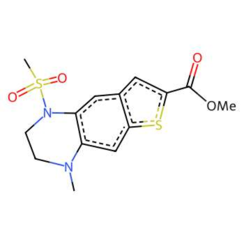 COC(=O)c1cc2cc3c(cc2s1)N(C)CCN3S(C)(=O)=O